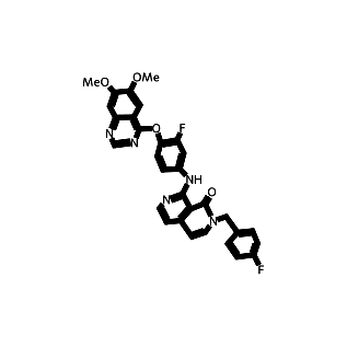 COc1cc2ncnc(Oc3ccc(Nc4nccc5ccn(Cc6ccc(F)cc6)c(=O)c45)cc3F)c2cc1OC